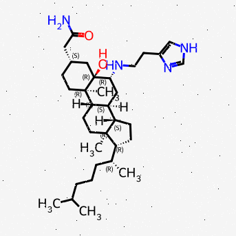 CC(C)CCC[C@@H](C)[C@H]1CC[C@H]2[C@@H]3C[C@@H](NCCc4c[nH]cn4)[C@@]4(O)C[C@@H](CC(N)=O)CC[C@]4(C)[C@H]3CC[C@]12C